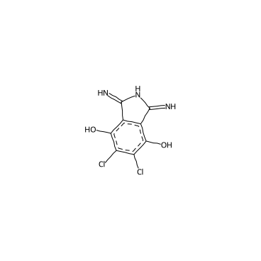 N=C1NC(=N)c2c(O)c(Cl)c(Cl)c(O)c21